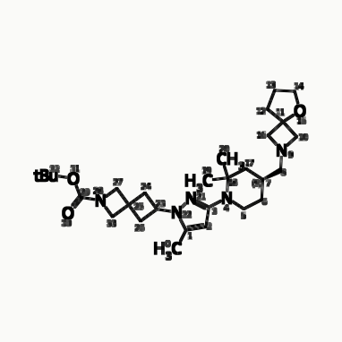 Cc1cc(N2CC[C@H](CN3CC4(CCCO4)C3)CC2(C)C)nn1C1CC2(C1)CN(C(=O)OC(C)(C)C)C2